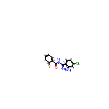 O=C(Nc1n[nH]c2cc(Cl)ccc12)C1=CC=CCC1=S